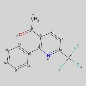 CC(=O)c1ccc(C(F)(F)F)nc1-c1ccccc1